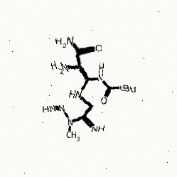 CN(N=N)C(=N)CN/C(NC(=O)C(C)(C)C)=C(\N)C(N)=O